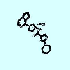 O=C(N[C@@]1(CO)CCN(c2nccn3cccc23)C1)c1csc(N2CCCCC2)n1